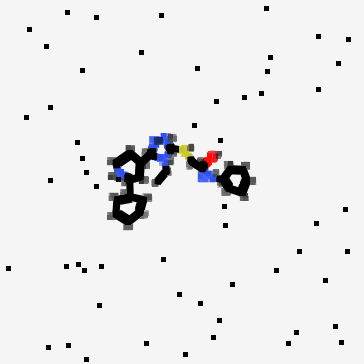 CCn1c(SCC(=O)Nc2ccccc2)nnc1-c1ccnc(-c2ccccc2)c1